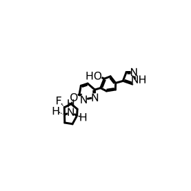 Oc1cc(-c2cn[nH]c2)ccc1-c1ccc(O[C@@H]2C[C@H]3CC[C@H](N3)[C@@H]2F)nn1